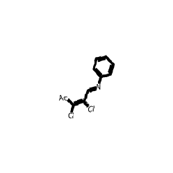 CC(=O)/C(Cl)=C(/Cl)C=Nc1ccccc1